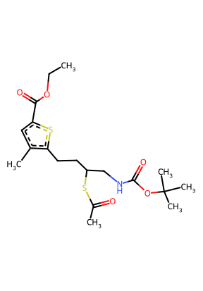 CCOC(=O)c1cc(C)c(CCC(CNC(=O)OC(C)(C)C)SC(C)=O)s1